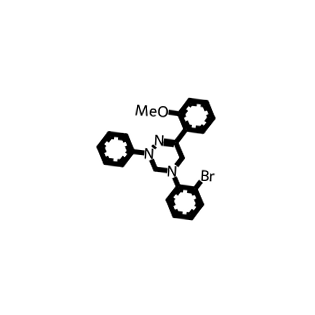 COc1ccccc1C1=NN(c2ccccc2)CN(c2ccccc2Br)C1